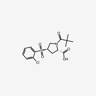 CC(C)(C)C(=O)N1C[C@H](S(=O)(=O)c2ccccc2Cl)C[C@H]1C(=O)O